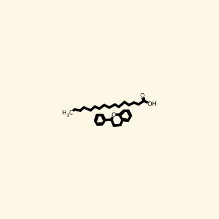 CCCCCCCCCCCCCCCC(=O)O.c1ccc(C2CCc3ccccc3O2)cc1